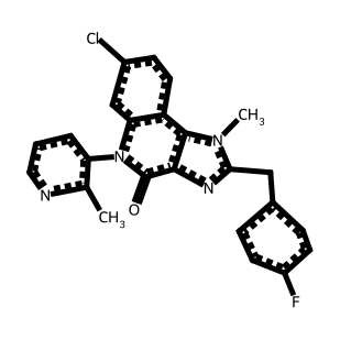 Cc1ncccc1-n1c(=O)c2nc(Cc3ccc(F)cc3)n(C)c2c2ccc(Cl)cc21